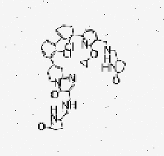 O=C1CC[C@H](CNCc2ccc(-c3cccc(-c4cccc(-c5ccn6c(=O)c(CNC[C@H]7CCC(=O)N7)cnc6c5)c4Cl)c3Cl)nc2OC2CC2)N1